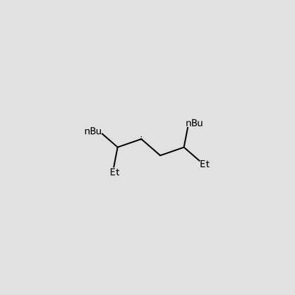 CCCCC([CH]CC(CC)CCCC)CC